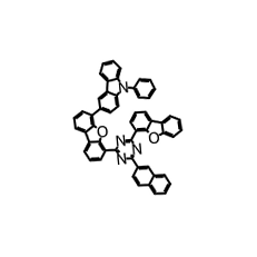 c1ccc(-n2c3ccccc3c3cc(-c4cccc5c4oc4c(-c6nc(-c7ccc8ccccc8c7)nc(-c7cccc8c7oc7ccccc78)n6)cccc45)ccc32)cc1